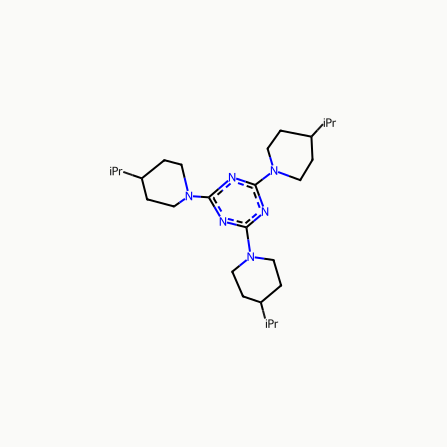 CC(C)C1CCN(c2nc(N3CCC(C(C)C)CC3)nc(N3CCC(C(C)C)CC3)n2)CC1